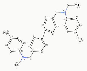 CCN(Cc1ccc(-c2ccc(CN(C)c3ccc(C)cc3)cc2)cc1)c1ccc(C)cc1